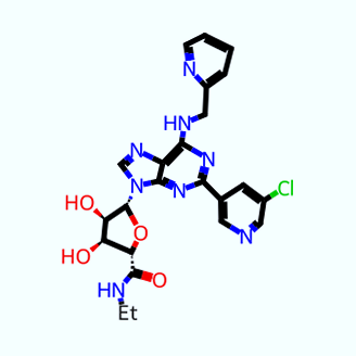 CCNC(=O)[C@H]1O[C@@H](n2cnc3c(NCc4ccccn4)nc(-c4cncc(Cl)c4)nc32)[C@H](O)[C@@H]1O